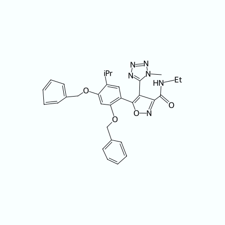 CCNC(=O)c1noc(-c2cc(C(C)C)c(OCc3ccccc3)cc2OCc2ccccc2)c1-c1nnnn1C